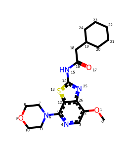 COc1cnc(N2CCOCC2)c2sc(NC(=O)CC3CCCCC3)nc12